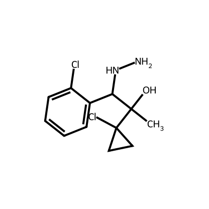 CC(O)(C(NN)c1ccccc1Cl)C1(Cl)CC1